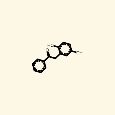 O=C(Cc1cc(O)ccc1O)c1ccccc1